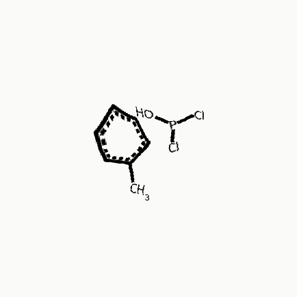 Cc1ccccc1.OP(Cl)Cl